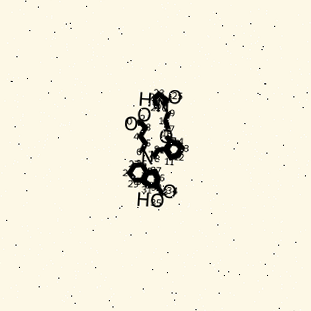 O=C(O)CCCCN(CCc1ccccc1OCCCN1CCCC1=O)C1CCCc2cc(C(=O)O)ccc21